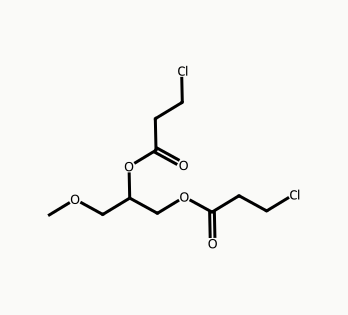 COCC(COC(=O)CCCl)OC(=O)CCCl